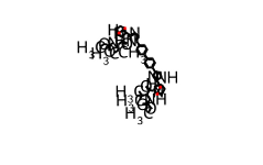 COC(=O)NC(C(=O)N1C2CCC(CC2)C1c1ncc(-c2ccc(-c3ccc(-c4c[nH]c([C@@H]5C6CCC(CC6)N5C(=O)C(NC(=O)OC)C(C)C)n4)cc3)cc2)[nH]1)C(C)C